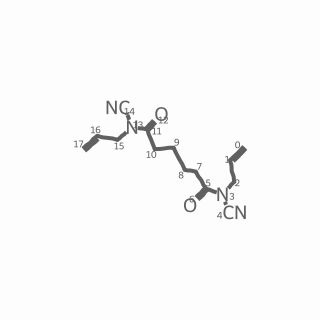 C=CCN(C#N)C(=O)CCCCC(=O)N(C#N)CC=C